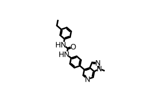 CCc1cccc(NC(=O)Nc2ccc(-c3cncc4c3cnn4C)cc2)c1